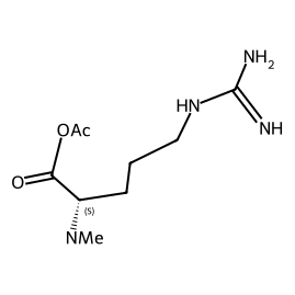 CN[C@@H](CCCNC(=N)N)C(=O)OC(C)=O